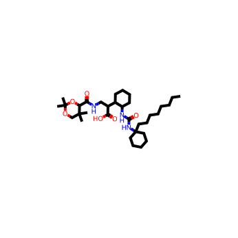 CCCCCCCCC1(NC(=O)NC2CCCCC2C(CNC(=O)C2OC(C)(C)OCC2(C)C)C(=O)O)CCCCC1